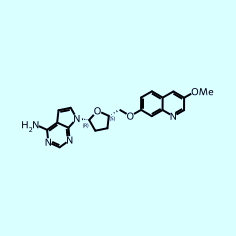 COc1cnc2cc(OC[C@@H]3CC[C@H](n4ccc5c(N)ncnc54)O3)ccc2c1